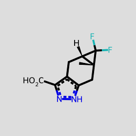 C[C@@]12Cc3[nH]nc(C(=O)O)c3C[C@@H]1C2(F)F